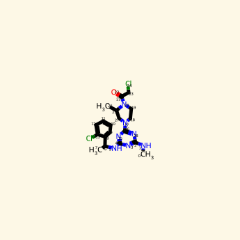 CNc1nc(NC(C)c2ccccc2Cl)nc(N2CCN(C(=O)CCl)C(C)C2)n1